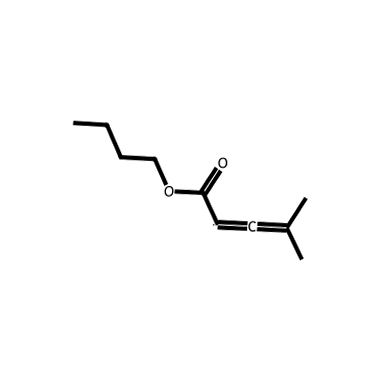 CCCCOC(=O)[C]=C=C(C)C